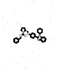 O=C(OCc1ccccc1)N1CCC[C@H]1COc1ccc(-c2nc3ccccc3n2C2CCCCC2)cc1